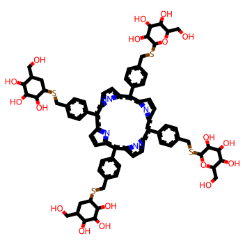 OCC1CC(SCc2ccc(-c3c4nc(c(-c5ccc(CSC6CC(CO)C(O)C(O)C6O)cc5)c5ccc([nH]5)c(-c5ccc(CSC6OC(CO)C(O)C(O)C6O)cc5)c5nc(c(-c6ccc(CSC7OC(CO)C(O)C(O)C7O)cc6)c6ccc3[nH]6)C=C5)C=C4)cc2)C(O)C(O)C1O